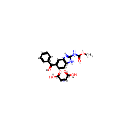 COC(=O)Nc1nc2cc(C(=O)c3ccccc3)ccc2[nH]1.O=C(O)/C=C\C(=O)O